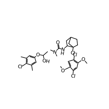 CN(C)C(=O)NC1CC2CCC1(Cl)C2.COc1cc(Cl)c(OC)cc1Cl.Cc1cc(OC(C)O)cc(C)c1Cl